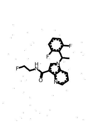 CC(c1c(F)cccc1F)n1cc(C(=O)NCCF)c2ncccc21